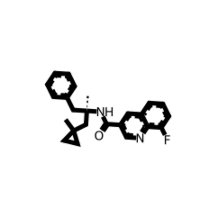 CC1(C[C@@](C)(Cc2ccccc2)NC(=O)c2cnc3c(F)cccc3c2)CC1